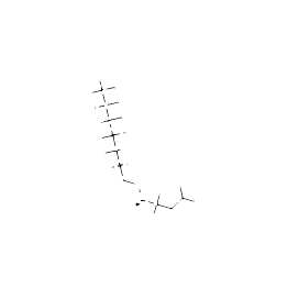 CC(C)CC(C)(C)C(=O)OCC(F)(F)C(F)(F)C(F)(F)C(F)(F)C(F)(F)C(F)(F)F